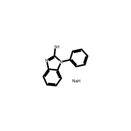 Sc1nc2ccccc2n1-c1ccccc1.[NaH]